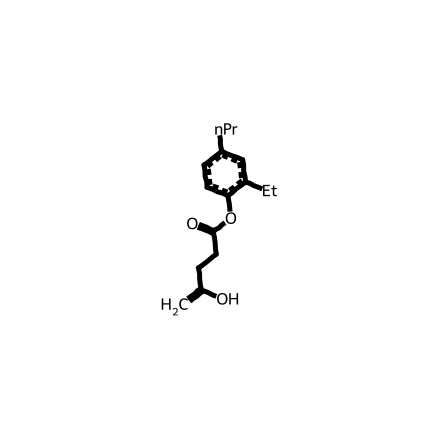 C=C(O)CCC(=O)Oc1ccc(CCC)cc1CC